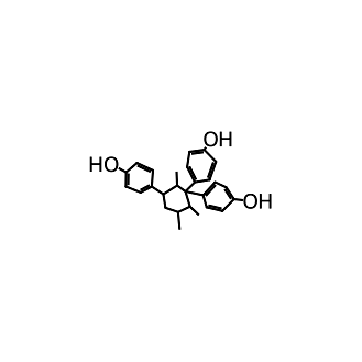 CC1CC(c2ccc(O)cc2)C(C)C(c2ccc(O)cc2)(c2ccc(O)cc2)C1C